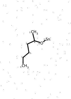 CCCCC(C)[O][Sn]